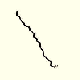 [CH]=C/C=C/C=C/C=C/C=C/C=C/C=C/CCCCCCCCCCCCCCCC